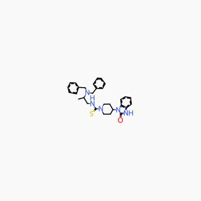 CC(CNC(=S)N1CCC(n2c(=O)[nH]c3ccccc32)CC1)N(Cc1ccccc1)Cc1ccccc1